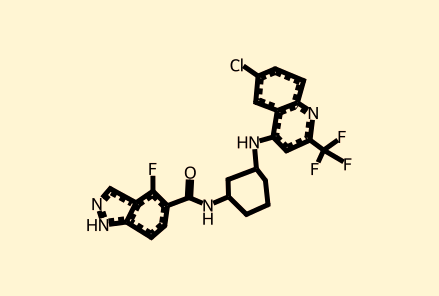 O=C(NC1CCCC(Nc2cc(C(F)(F)F)nc3ccc(Cl)cc23)C1)c1ccc2[nH]ncc2c1F